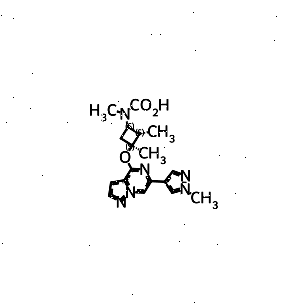 C[C@H]1[C@@H](N(C)C(=O)O)C[C@]1(C)Oc1nc(-c2cnn(C)c2)cn2nccc12